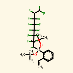 C=Cc1ccccc1[Si](O[Si](C)(C)C)(O[Si](C)(C)C)C(F)C(F)(F)C(F)(F)C(F)(F)C(F)(F)C(F)(F)C(F)C(F)F